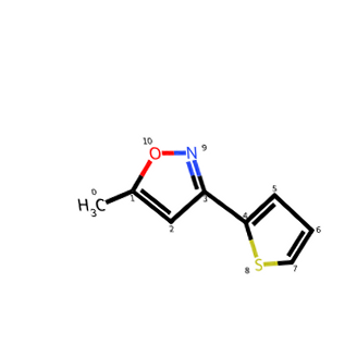 Cc1cc(-c2cccs2)no1